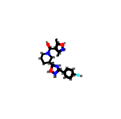 Cc1noc(C)c1C(=O)N1CCCC(c2nc(-c3ccc(F)cc3)no2)C1